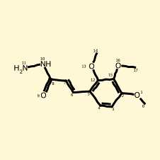 COc1ccc(/C=C/C(=O)NN)c(OC)c1OC